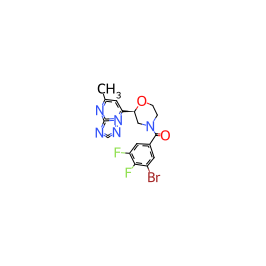 Cc1cc([C@@H]2CN(C(=O)c3cc(F)c(F)c(Br)c3)CCO2)n2ncnc2n1